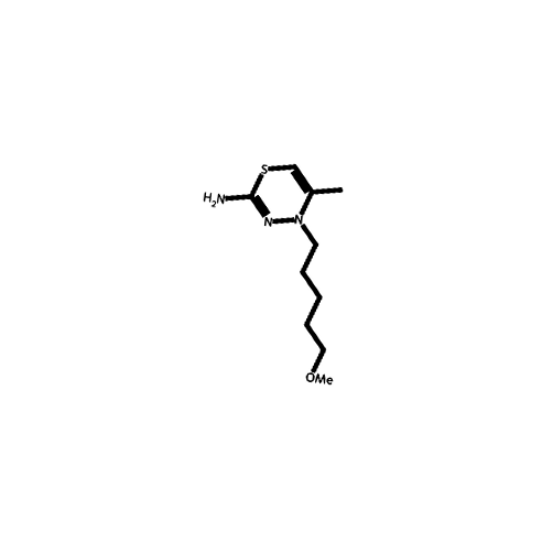 COCCCCCN1N=C(N)SC=C1C